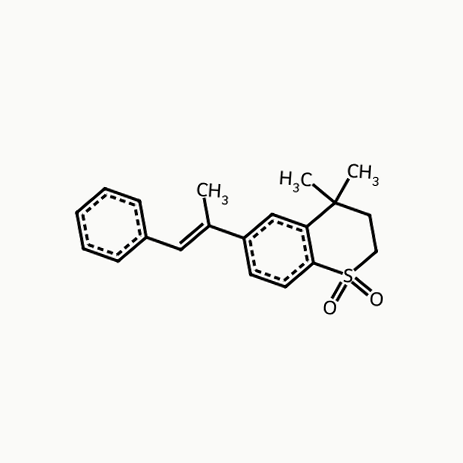 C/C(=C\c1ccccc1)c1ccc2c(c1)C(C)(C)CCS2(=O)=O